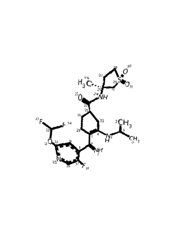 CC(C)NC1=C(C(=N)c2cc(OC(F)F)ncc2F)CC[C@@H](C(=O)N[C@@]2(C)CCS(=O)(=O)C2)C1